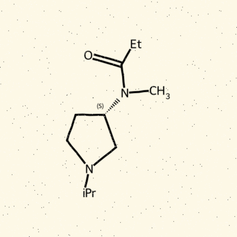 CCC(=O)N(C)[C@H]1CCN(C(C)C)C1